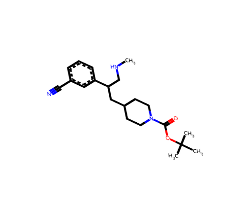 CNCC(CC1CCN(C(=O)OC(C)(C)C)CC1)c1cccc(C#N)c1